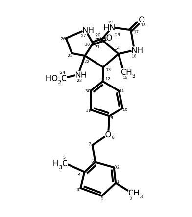 Cc1ccc(C)c(COc2ccc(C(C3(C)NC(=O)NC3=O)C3(NC(=O)O)CCNC3=O)cc2)c1